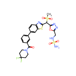 CS(=O)(=O)C(c1nnc(CNS(N)(=O)=O)o1)c1nc2ccc(-c3cccc(C(=O)N4CCC(F)(F)CC4)c3)cc2s1